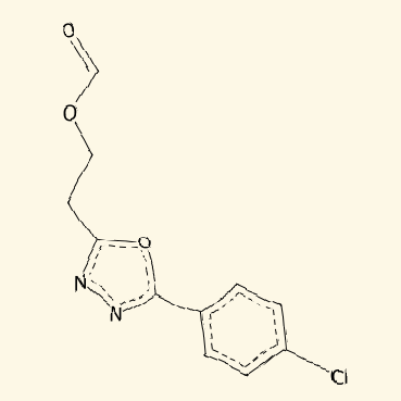 O=COCCc1nnc(-c2ccc(Cl)cc2)o1